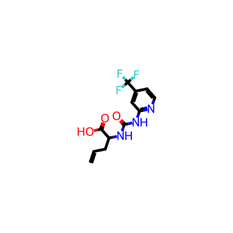 C=CCC(NC(=O)Nc1cc(C(F)(F)F)ccn1)C(=O)O